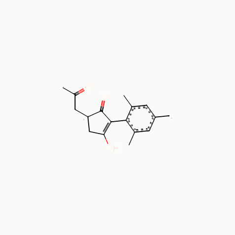 CC(=O)CC1CC(O)=C(c2c(C)cc(C)cc2C)C1=O